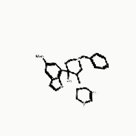 C1=CNCCC1.COc1cc(C2(O)CCN(Cc3ccccc3)CC2C)c2occc2c1.Cl